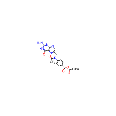 CC(C)COC(=O)OC(=O)c1ccc(N(Cc2cnc3nc(N)[nH]c(=O)c3n2)C(=O)C(F)(F)F)cc1